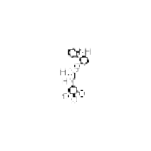 COc1cc(NCC(O)COc2cccc3[nH]c4ccccc4c23)cc(OC)c1OC